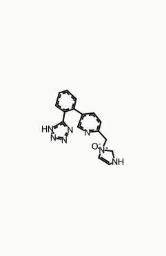 [O-][N+]1(Cc2ccc(-c3ccccc3-c3nnn[nH]3)cn2)C=CNC1